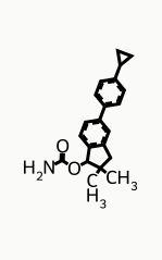 CC1(C)Cc2cc(-c3ccc(C4CC4)cc3)ccc2C1OC(N)=O